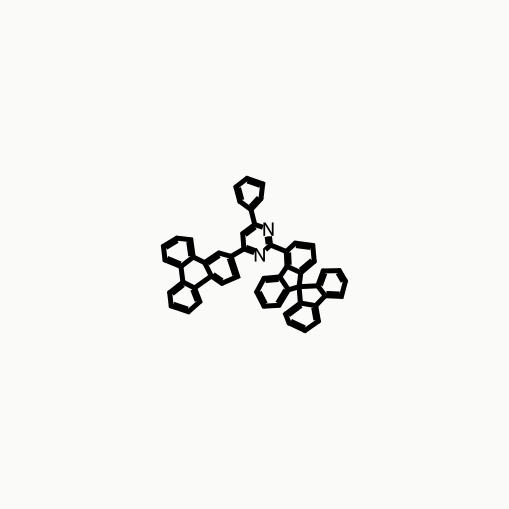 c1ccc(-c2cc(-c3ccc4c5ccccc5c5ccccc5c4c3)nc(-c3cccc4c3-c3ccccc3C43c4ccccc4-c4ccccc43)n2)cc1